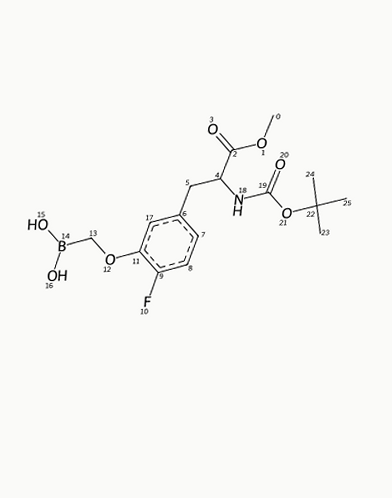 COC(=O)C(Cc1ccc(F)c(OCB(O)O)c1)NC(=O)OC(C)(C)C